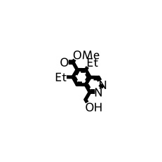 CCc1cc2c(CO)nncc2c(CC)c1C(=O)OC